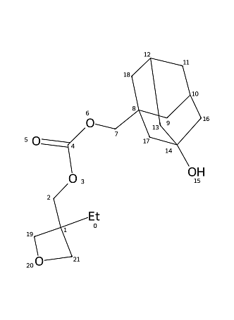 CCC1(COC(=O)OCC23CC4CC(CC(O)(C4)C2)C3)COC1